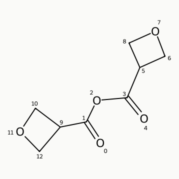 O=C(OC(=O)C1COC1)C1COC1